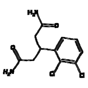 NC(=O)CC(CC(N)=O)c1cccc(Cl)c1Cl